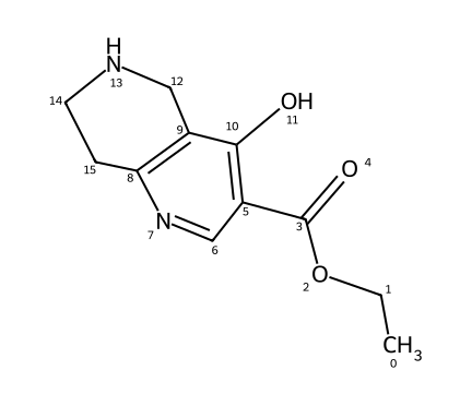 CCOC(=O)c1cnc2c(c1O)CNCC2